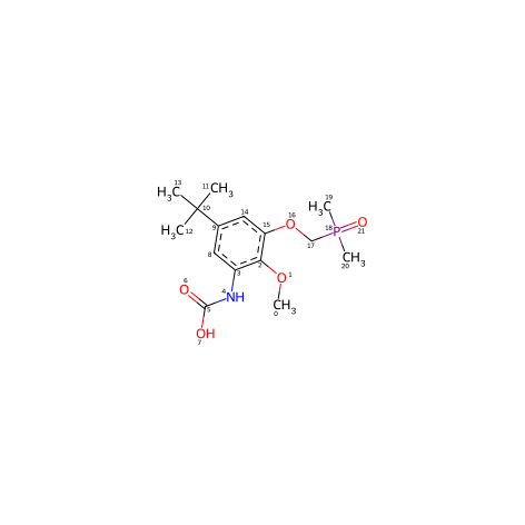 COc1c(NC(=O)O)cc(C(C)(C)C)cc1OCP(C)(C)=O